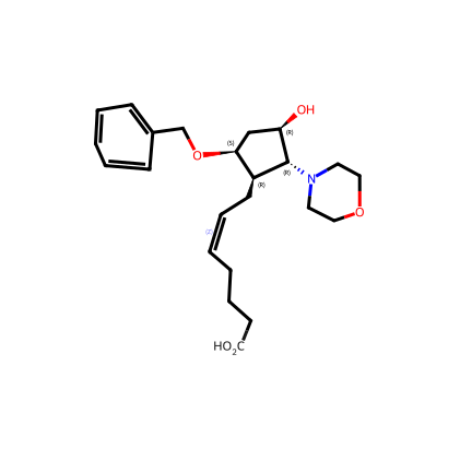 O=C(O)CCC/C=C\C[C@@H]1[C@@H](N2CCOCC2)[C@H](O)C[C@@H]1OCc1ccccc1